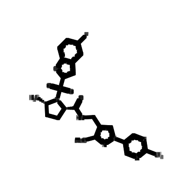 COc1nn(-c2cnc(C(F)(F)F)nc2)cc1CNC(=O)[C@@H]1CC[C@H](C)N1S(=O)(=O)c1cc2cc(F)ccc2o1